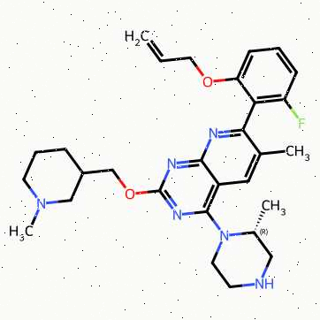 C=CCOc1cccc(F)c1-c1nc2nc(OCC3CCCN(C)C3)nc(N3CCNC[C@H]3C)c2cc1C